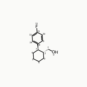 OC[C@@H]1CCCC[C@H]1c1ccc(F)cc1